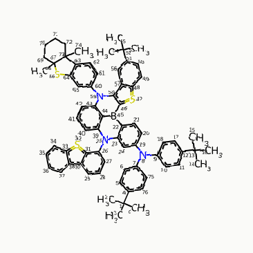 CC(C)(C)c1ccc(N(c2ccc(C(C)(C)C)cc2)c2ccc3c(c2)N(c2cccc4c2sc2ccccc24)c2cccc4c2B3c2sc3ccc(C(C)(C)C)cc3c2N4c2ccc3c(c2)SC2(C)CCCCC32C)cc1